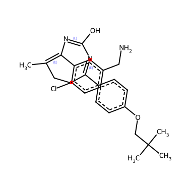 C\C1=C(c2cc(CN)ccc2Cl)/N=C(O)\N=C(\c2ccc(OCC(C)(C)C)cc2)CC1